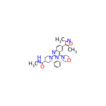 CNC(=O)C1CCN(c2nc(N3CCOC[C@@H]3c3ccccc3)c3cc(-c4c(C)noc4C)ccc3n2)CC1